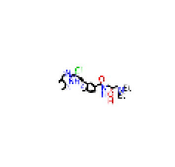 C=C(/C=C\C)/C=N\C(N)=C(/Cl)C#Cc1cc(C(=O)NCC(O)CN(CC)CC)ccc1C